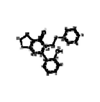 O=c1c2c(nc(-c3ccccc3O)n1CCc1ccccc1)CCC2